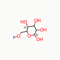 OC1C(O)[C@@H](O)OC(COI)[C@H]1O